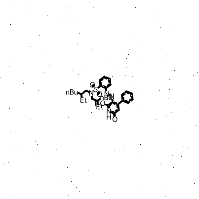 CCCCC(CC)CN(CC(CC)CCCC)S(=O)(=O)c1ccccc1/N=N/c1c(-c2ccccc2)cc(=O)[nH]c1O